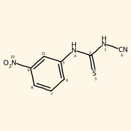 N#CNC(=S)Nc1cccc([N+](=O)[O-])c1